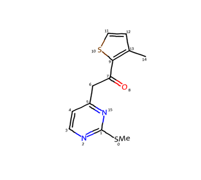 CSc1nccc(CC(=O)c2sccc2C)n1